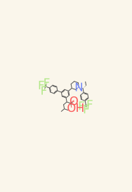 CC[C@H](c1ccc(C(F)(F)F)cc1)N1CCCC(c2cc(-c3ccc(C(F)(F)F)cc3)cc(C(CC(C)C)C(=O)O)c2)C1